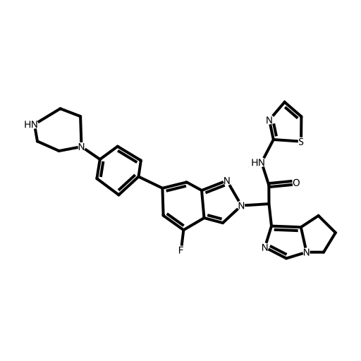 O=C(Nc1nccs1)C(c1ncn2c1CCC2)n1cc2c(F)cc(-c3ccc(N4CCNCC4)cc3)cc2n1